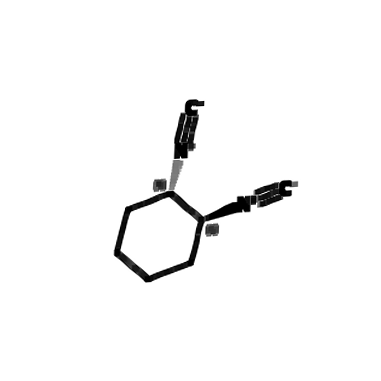 [C-]#[N+][C@H]1CCCC[C@@H]1[N+]#[C-]